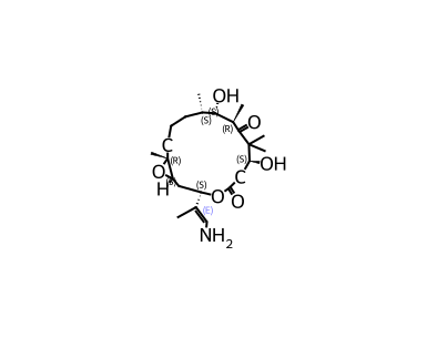 C/C(=C\N)[C@@H]1C[C@@H]2O[C@]2(C)CCC[C@H](C)[C@H](O)[C@@H](C)C(=O)C(C)(C)[C@@H](O)CC(=O)O1